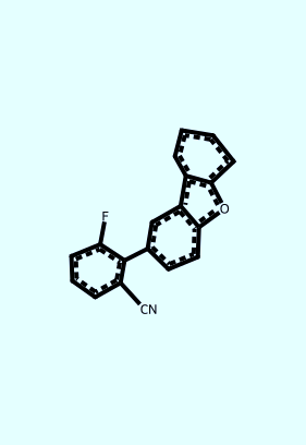 N#Cc1cccc(F)c1-c1ccc2oc3ccccc3c2c1